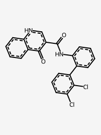 O=C(Nc1ccccc1-c1cccc(Cl)c1Cl)c1c[nH]c2ccccc2c1=O